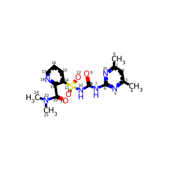 Cc1cc(C)nc(NC(=O)NS(=O)(=O)c2cccnc2C(=O)N(C)C)n1